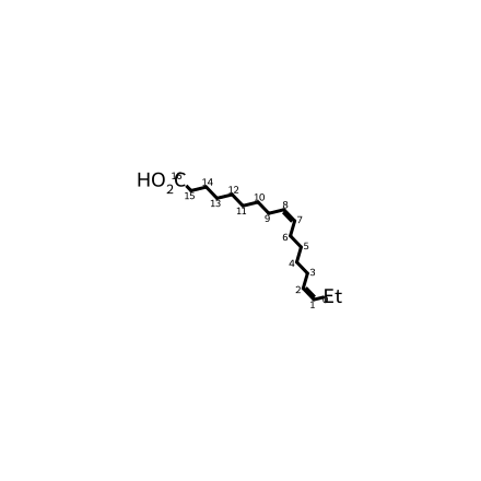 CC/C=C\CCCC/C=C\CCCCCCCC(=O)O